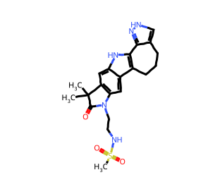 CC1(C)C(=O)N(CCNS(C)(=O)=O)c2cc3c4c([nH]c3cc21)-c1n[nH]cc1CCC4